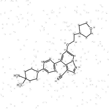 CC1(N)CCN(c2cnc(-c3cc(OCCN4CCOCC4)cn4ncc(C#N)c34)cn2)CC1